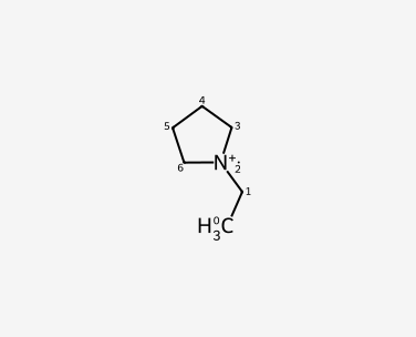 CC[N+]1CCCC1